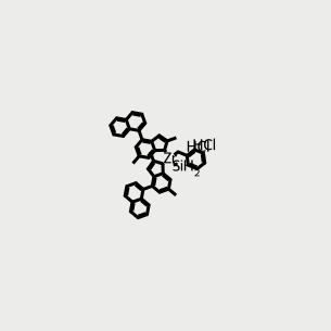 CC1=Cc2c(-c3cccc4ccccc34)cc(C)cc2[CH]1[Zr](=[SiH2])([CH2]c1ccccc1)[CH]1C(C)=Cc2c(-c3cccc4ccccc34)cc(C)cc21.Cl.Cl